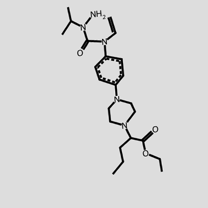 C=CN(C(=O)N(N)C(C)C)c1ccc(N2CCN(C(CCC)C(=O)OCC)CC2)cc1